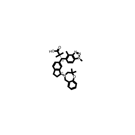 Cc1c([C@H](c2ccc3c(c2)[C@@H](N2Cc4ccccc4OC(C)(C)C2)CC3)C(C)(C)C(=O)O)ccc2c1nnn2C